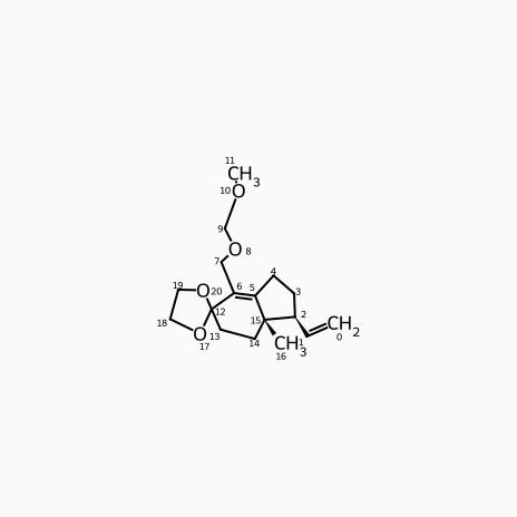 C=C[C@@H]1CCC2=C(COCOC)C3(CC[C@]21C)OCCO3